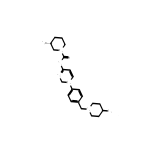 NC1CCN(Cc2ccc(N3C=CC(NC(=O)N4CCC[C@H](N)C4)=NC3)cc2)CC1